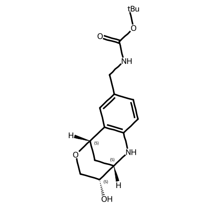 CC(C)(C)OC(=O)NCc1ccc2c(c1)[C@@H]1C[C@H](N2)[C@H](O)CO1